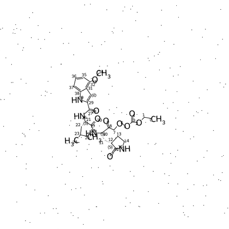 CCOC(=O)OOCC(=O)[C@H](C[C@@H]1CCNC1=O)NC(=O)[C@H](CC(C)C)NC(=O)c1cc2c(OC)cccc2[nH]1